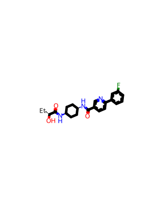 CC[C@@H](O)C(=O)N[C@H]1CC[C@H](NC(=O)c2ccc(-c3cccc(F)c3)nc2)CC1